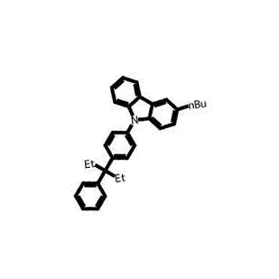 CCCCc1ccc2c(c1)c1ccccc1n2-c1ccc(C(CC)(CC)c2ccccc2)cc1